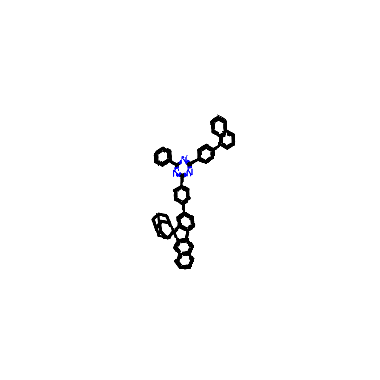 c1ccc(-c2nc(-c3ccc(-c4ccc5c(c4)C4(c6cc7ccccc7cc6-5)C5CC6CC(C5)CC4C6)cc3)nc(-c3ccc(-c4cccc5ccccc45)cc3)n2)cc1